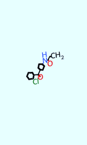 C=CC(=O)Nc1ccc(C(=O)c2ccccc2Cl)cc1